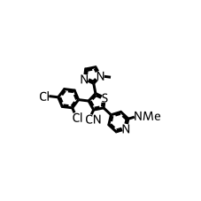 [C-]#[N+]c1c(-c2ccnc(NC)c2)sc(-c2nccn2C)c1-c1ccc(Cl)cc1Cl